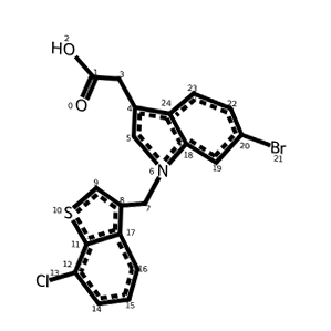 O=C(O)Cc1cn(Cc2csc3c(Cl)cccc23)c2cc(Br)ccc12